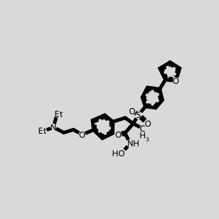 CCN(CC)CCOc1ccc(CC(C)(C(=O)NO)S(=O)(=O)c2ccc(-c3ccco3)cc2)cc1